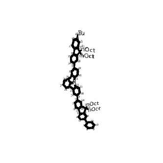 CCCCCCCCC1(CCCCCCCC)c2cc(-c3ccccc3)ccc2-c2ccc(-c3ccc4c(c3)c3cccc5c6cc(-c7ccc8c(c7)C(CCCCCCCC)(CCCCCCCC)c7cc(C(C)CC)ccc7-8)ccc6n4c35)cc21